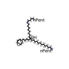 CCCCC/C=C\C/C=C\CCCCCCCCC(O)(CCCCCCCCCCC/C=C\CCCCC)CCCCN1CCCOCC1